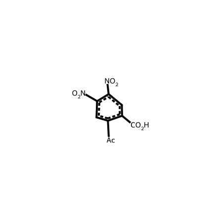 CC(=O)c1cc([N+](=O)[O-])c([N+](=O)[O-])cc1C(=O)O